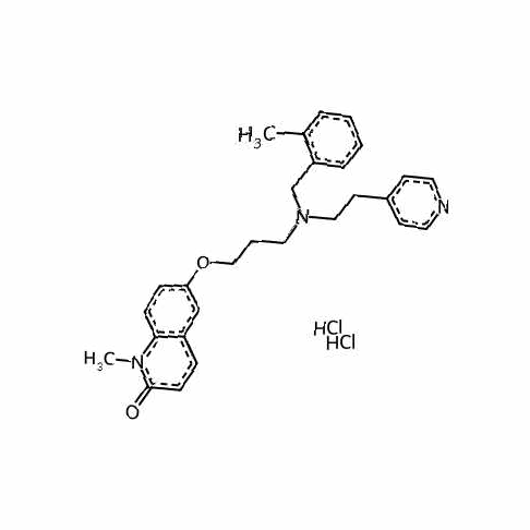 Cc1ccccc1CN(CCCOc1ccc2c(ccc(=O)n2C)c1)CCc1ccncc1.Cl.Cl